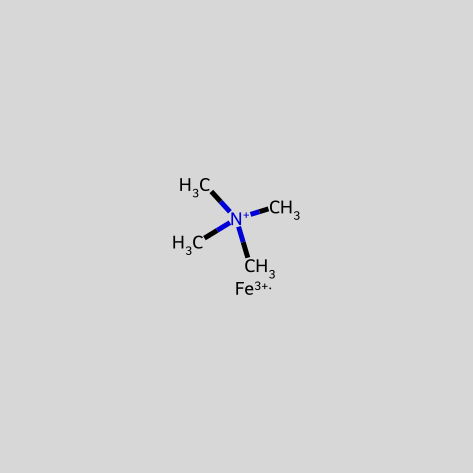 C[N+](C)(C)C.[Fe+3]